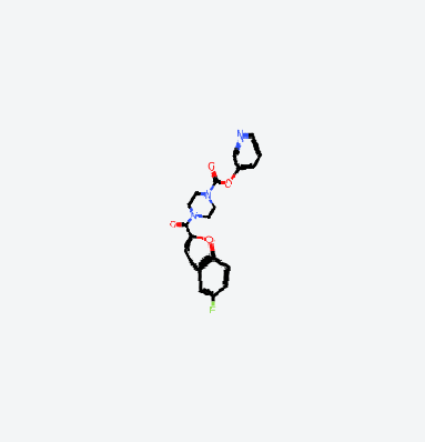 O=C(Oc1cccnc1)N1CCN(C(=O)c2cc3cc(F)ccc3o2)CC1